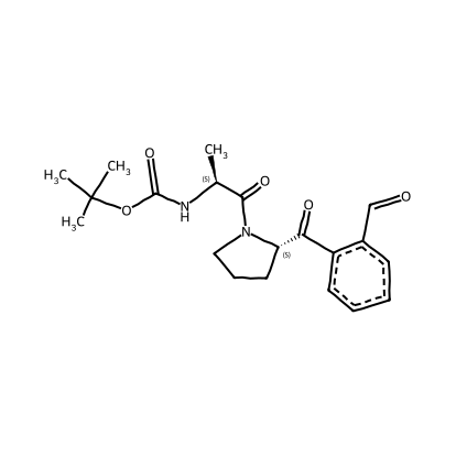 C[C@H](NC(=O)OC(C)(C)C)C(=O)N1CCC[C@H]1C(=O)c1ccccc1C=O